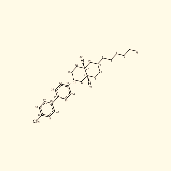 CCCCCCC1CC[C@@H]2C[C@H](c3ccc(-c4ccc(Cl)cc4)cc3)CC[C@@H]2C1